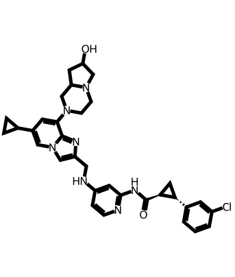 O=C(Nc1cc(NCc2cn3cc(C4CC4)cc(N4CCN5CC(O)CC5C4)c3n2)ccn1)[C@H]1C[C@@H]1c1cccc(Cl)c1